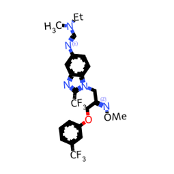 CCN(C)/C=N/c1ccc2c(c1)nc(C(F)(F)F)n2C/C(COc1cccc(C(F)(F)F)c1)=N/OC